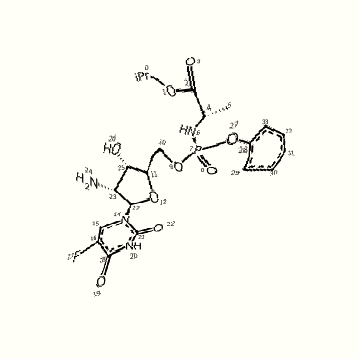 CC(C)OC(=O)[C@H](C)N[P@@](=O)(OC[C@H]1O[C@@H](n2cc(F)c(=O)[nH]c2=O)[C@H](N)[C@@H]1O)Oc1ccccc1